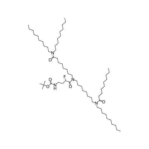 CCCCCCCCCCN(CCCCCCCCN(CCCCCCCC(=O)N(CCCCCCCCCC)CCCCCCCCCC)C(=O)C(F)CCNC(=O)OC(C)(C)C)C(=O)CCCCCCCCC